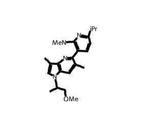 CNc1nc(C(C)C)ccc1-c1nc2c(C)cn(C(C)COC)c2cc1C